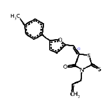 C=CCN1C(=O)/C(=C\c2ccc(-c3ccc(C)cc3)o2)SC1=S